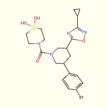 CCc1ccc(C2CC(c3nc(C4CC4)no3)CN(C(=O)N3CCS(O)(O)CC3)C2)cc1